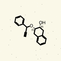 C#CC(O[C@H]1Cc2ccccc2C[C@H]1O)c1ccccc1